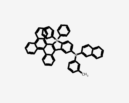 Cc1cccc(N(c2ccc3c(c2)-c2c(c4c5ccccc5c5ccccc5c4c4ccccc24)[Si]3(c2ccccc2)c2ccccc2)c2ccc3ccccc3c2)c1